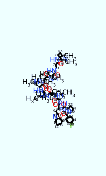 CC(C)C[C@H](NC(=O)[C@H](Cc1nc2ccccc2o1)NC(=O)[C@@H]1CCCN1C(=O)c1ccc(F)cc1)C(=O)NC(C)(C)C(=O)N[C@@H](CC(C)C)C(=O)N[C@@H](CC(C)C)C(=O)NC(C)(C)C(=O)NC(C)(C)C(=O)NCCC(=O)NC1(CN(C)C)CCC1